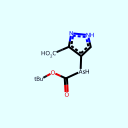 CC(C)(C)OC(=O)[AsH]c1c[nH]nc1C(=O)O